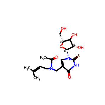 CC(C)=CCN(Cc1cn([C@@H]2O[C@H](CO)C(O)[C@@H]2O)c(=S)[nH]c1=O)C(=O)C(F)(F)F